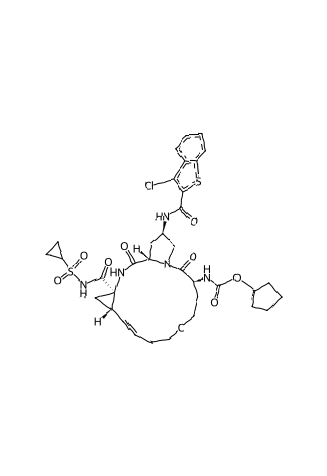 O=C(N[C@H]1CCCCC/C=C\[C@@H]2C[C@@]2(C(=O)NS(=O)(=O)C2CC2)NC(=O)[C@@H]2C[C@@H](NC(=O)c3sc4ccccc4c3Cl)CN2C1=O)OC1CCCC1